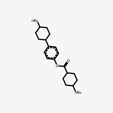 CCCCC1CCC(C(=O)Oc2ccc(C3CCC(CCCC)CC3)cc2)CC1